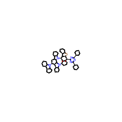 c1ccc(-c2nc(-c3ccccc3)nc(-c3ccc(-n4c5ccccc5c5cc(-n6c7ccccc7c7ccccc76)c6c7ccccc7n(-c7ccccc7)c6c54)c4c3sc3ccccc34)n2)cc1